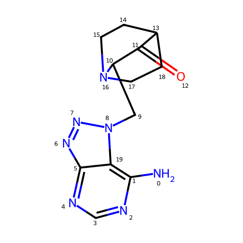 Nc1ncnc2nnn(CC3C(=O)C4CCN3CC4)c12